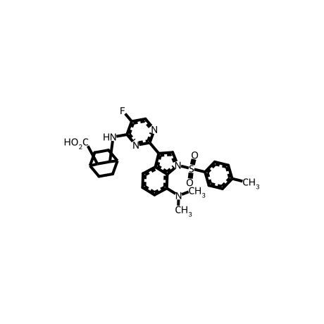 Cc1ccc(S(=O)(=O)n2cc(-c3ncc(F)c(NC4C5CCC(CC5)C4C(=O)O)n3)c3cccc(N(C)C)c32)cc1